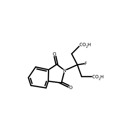 O=C(O)CC(F)(CC(=O)O)N1C(=O)c2ccccc2C1=O